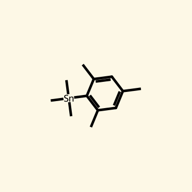 Cc1cc(C)[c]([Sn]([CH3])([CH3])[CH3])c(C)c1